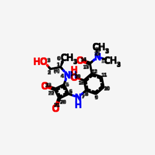 C[C@H](CO)Nc1c(Nc2cccc(C(=O)N(C)C)c2O)c(=O)c1=O